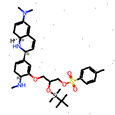 CN[C@H]1CC=C([C@@H]2C=CC3=CC(N(C)C)=CC[C@@H]3N2)C=C1OCC(COS(=O)(=O)c1ccc(C)cc1)O[Si](C)(C)C(C)(C)C